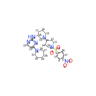 O=[N+]([O-])c1ccc(S(=O)(=O)N2CCC(N3CCCC(Nc4nccc(N5CCCCCC5)n4)C3)CC2)cc1